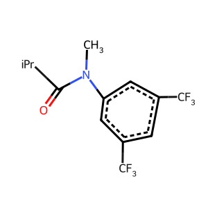 CC(C)C(=O)N(C)c1cc(C(F)(F)F)cc(C(F)(F)F)c1